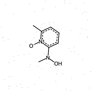 Cc1cccc(N(C)O)[n+]1[O-]